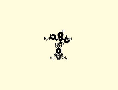 CS(=O)(=O)N(c1ccc(S(=O)(=O)NC(=O)c2c(-c3ccc[nH]c3=O)c3cc(Cl)ccc3n2Cc2ccnc(N)c2)cc1)S(C)(=O)=O